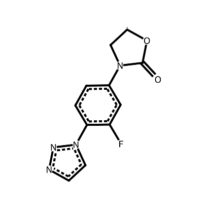 O=C1O[CH]CN1c1ccc(-n2ccnn2)c(F)c1